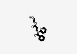 O=C(CCN(C(=O)C1=CC=C=C=C1)c1ccccn1)OCCO